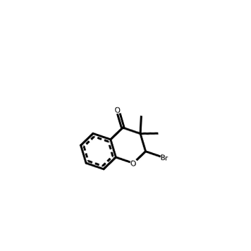 CC1(C)C(=O)c2ccccc2OC1Br